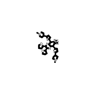 C[n+]1ccc(-c2ccc(-c3c4nsnc4c(-c4ccc(-c5cc[n+](C)cc5)s4)c4nc(-c5ccco5)c(-c5ccco5)nc34)s2)cc1